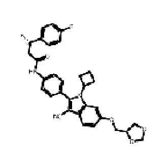 C[C@@H](CC(=O)Nc1ccc(-c2c(C#N)c3ccc(OCC4COCO4)cc3n2C2CCC2)cc1)c1ccc(F)cc1